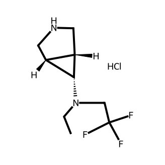 CCN(CC(F)(F)F)[C@@H]1[C@@H]2CNC[C@@H]21.Cl